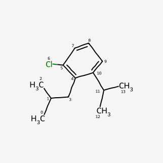 CC(C)Cc1c(Cl)cccc1C(C)C